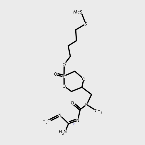 C=N/C(N)=N\C(=O)N(C)CC1COP(=O)(OCCCCSSC)CO1